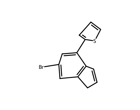 Brc1cc2c(c(-c3cccs3)c1)C=CC2